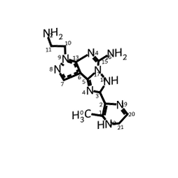 CC1=C(C2N=C3c4cnn(CCN)c4N=C(N)N3N2)N=CCN1